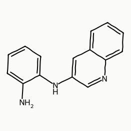 Nc1ccccc1Nc1cnc2ccccc2c1